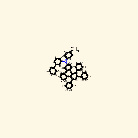 Cc1ccc(N(c2cccc(-c3ccccc3)c2)c2ccc3c(c2)c2ccccc2c2c(-c4ccccc4)cc(-c4ccccc4)c(-c4ccccc4)c32)cc1